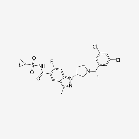 Cc1nn([C@@H]2CCN([C@@H](C)c3cc(Cl)cc(Cl)c3)C2)c2cc(F)c(C(=O)NS(=O)(=O)C3CC3)cc12